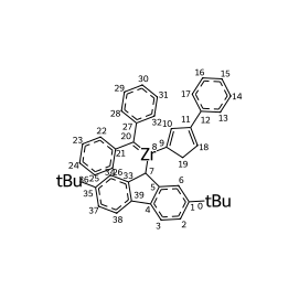 CC(C)(C)c1ccc2c(c1)[CH]([Zr]([C]1=CC(c3ccccc3)=CC1)=[C](c1ccccc1)c1ccccc1)c1cc(C(C)(C)C)ccc1-2